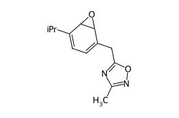 Cc1noc(CC2=CC=C(C(C)C)C3OC23)n1